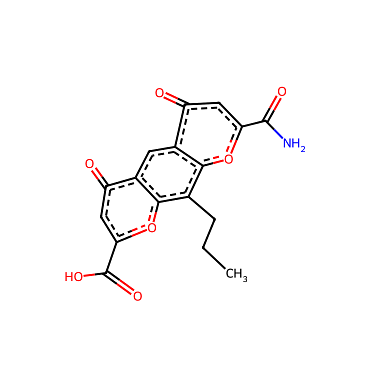 CCCc1c2oc(C(N)=O)cc(=O)c2cc2c(=O)cc(C(=O)O)oc12